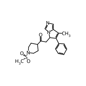 CC1=C(c2ccccc2)C(CC(=O)C2CCN(S(C)(=O)=O)CC2)n2cncc21